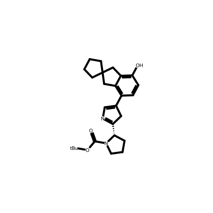 CC(C)(C)OC(=O)N1CCC[C@H]1C1=NC=C(c2ccc(O)c3c2CC2(CCCC2)C3)C1